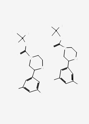 CC(C)(C)OC(=O)N1CCNC(c2cc(F)cc(F)c2)C1.CC(C)(C)OC(=O)N1CCNC(c2cc(F)cc(F)c2)C1